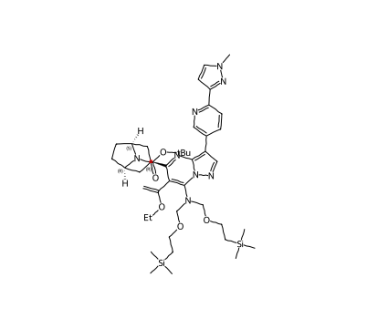 C=C(OCC)c1c([C@H]2C[C@H]3CC[C@@H](C2)N3C(=O)OC(C)(C)C)nc2c(-c3ccc(-c4ccn(C)n4)nc3)cnn2c1N(COCC[Si](C)(C)C)COCC[Si](C)(C)C